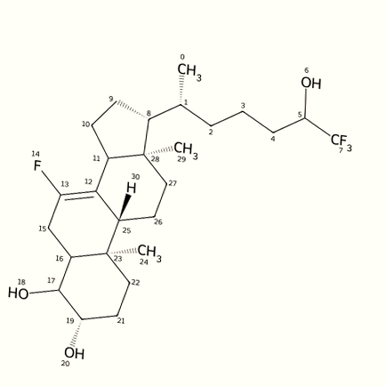 C[C@H](CCCC(O)C(F)(F)F)[C@H]1CCC2C3=C(F)CC4C(O)[C@@H](O)CC[C@]4(C)[C@H]3CC[C@@]21C